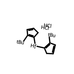 CC(C)(C)C1=[C]([Hf][C]2=C(C(C)(C)C)C=CC2)CC=C1.Cl.Cl